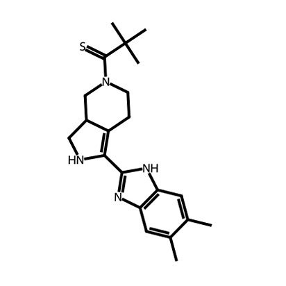 Cc1cc2nc(C3=C4CCN(C(=S)C(C)(C)C)CC4CN3)[nH]c2cc1C